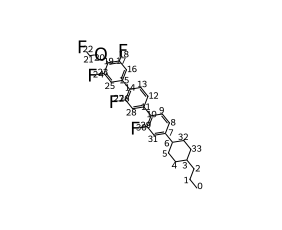 CCCC1CCC(c2ccc(-c3ccc(-c4cc(F)c(OCF)c(F)c4)c(F)c3)c(F)c2)CC1